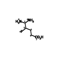 NC(N)C(F)CCC(=O)O